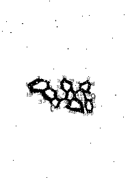 c1ccc2cc3c(-c4c5ccccc5c(-c5cccc6oc7ccccc7c56)c5ccccc45)coc3cc2c1